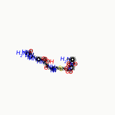 Nc1nc2ncc(CNc3ccc(C(=O)N[C@@H](CCC(=O)NCc4cn(CCSSCCOC(=O)N5C(=O)CCC(N6C(=O)c7cccc(N)c7C6=O)C5=O)nn4)C(=O)O)cc3)nc2c(=O)[nH]1